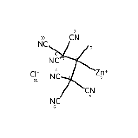 C[C]([Zn+])(C(C#N)(C#N)C#N)C(C#N)(C#N)C#N.[Cl-]